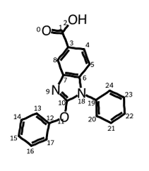 O=C(O)c1ccc2c(c1)nc(Oc1ccccc1)n2-c1ccccc1